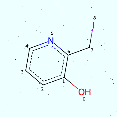 Oc1cccnc1CI